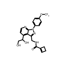 O=C(NCc1nn(-c2ccc(OC(F)(F)F)cc2)c2nccc(C(O)CO)c12)C1=CCC1